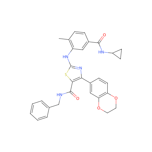 Cc1ccc(C(=O)NC2CC2)cc1Nc1nc(-c2ccc3c(c2)OCCO3)c(C(=O)NCc2ccccc2)s1